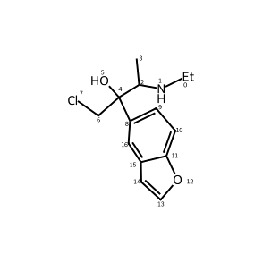 CCNC(C)C(O)(CCl)c1ccc2occc2c1